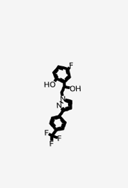 Oc1ccc(F)cc1C(O)Cn1ccc(-c2ccc(C(F)(F)F)cc2)n1